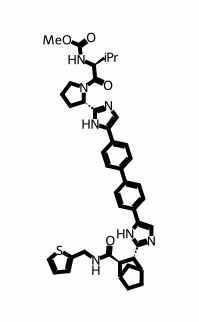 COC(=O)N[C@H](C(=O)N1CCC[C@H]1c1ncc(-c2ccc(-c3ccc(-c4cnc([C@@H]5C6CCC(C6)[C@H]5C(=O)NCc5cccs5)[nH]4)cc3)cc2)[nH]1)C(C)C